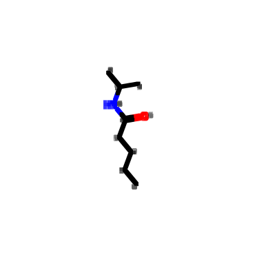 CCCCC(=O)NC(C)C